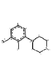 Cc1c(Br)cccc1N1CCSCC1